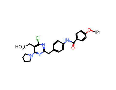 CC(C)Oc1ccc(C(=O)Nc2ccc(Cc3nc(Cl)c(CC(=O)O)c(N4CCCC4)n3)cc2)cc1